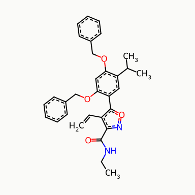 C=Cc1c(C(=O)NCC)noc1-c1cc(C(C)C)c(OCc2ccccc2)cc1OCc1ccccc1